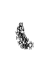 COCC1(n2c(NS(=O)(=O)[C@@H](C)[C@H](OC)c3ncc(Cl)cn3)nnc2-c2nn(C)c3c2CCCC3)CCC1